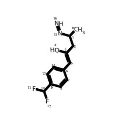 CC(C/C(O)=C/c1ccc(C(F)F)cc1)N=N